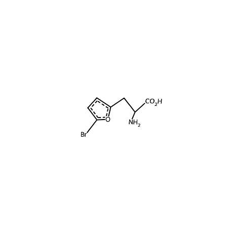 NC(Cc1ccc(Br)o1)C(=O)O